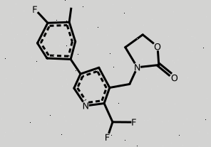 Cc1cc(-c2cnc(C(F)F)c(CN3CCOC3=O)c2)ccc1F